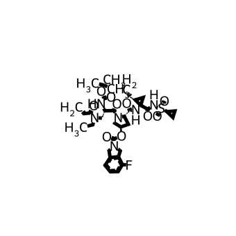 C=CC(=O)N(CC)C[C@H](NC(=O)OC(C)(C)C)C(=O)N1C[C@H](OC(=O)N2Cc3cccc(F)c3C2)C[C@H]1C(=O)N[C@]1(C(=O)NS(=O)(=O)C2CC2)C[C@H]1C=C